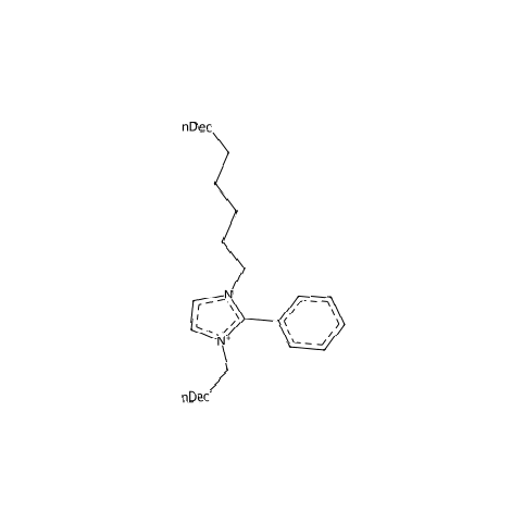 CCCCCCCCCCCCCCCn1cc[n+](CCCCCCCCCCC)c1-c1ccccc1